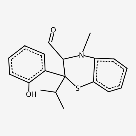 CC(C)C1(c2ccccc2O)Sc2ccccc2N(C)C1C=O